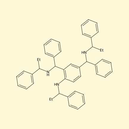 CCC(Nc1ccc(C(NC(CC)c2ccccc2)c2ccccc2)cc1C(NC(CC)c1ccccc1)c1ccccc1)c1ccccc1